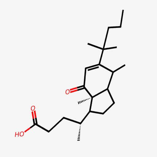 CCCC(C)(C)C1=CC(=O)[C@@]2(C)C(CCC2[C@H](C)CCC(=O)O)C1C